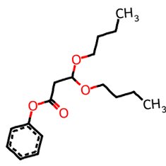 CCCCOC(CC(=O)Oc1ccccc1)OCCCC